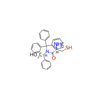 N[C@@H](CS)C(=O)N([C@@H](C(=O)O)c1ccccc1)C(c1ccccc1)(c1ccccc1)c1ccccc1